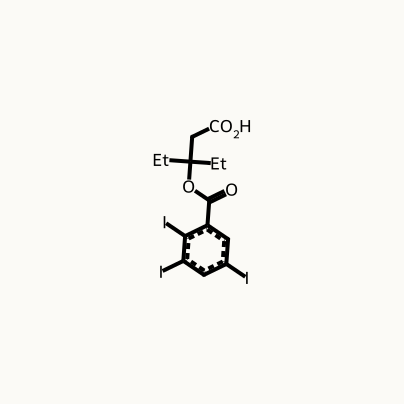 CCC(CC)(CC(=O)O)OC(=O)c1cc(I)cc(I)c1I